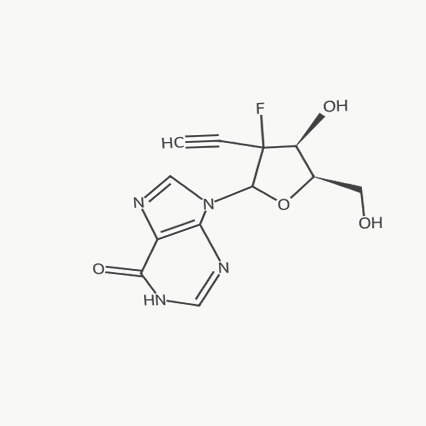 C#CC1(F)C(n2cnc3c(=O)[nH]cnc32)O[C@H](CO)[C@@H]1O